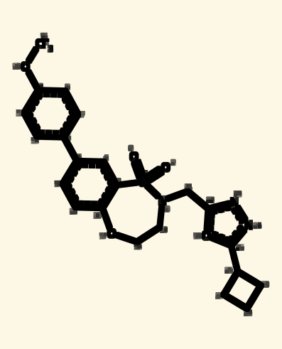 O=S1(=O)c2cc(-c3ccc(OC(F)(F)F)cc3)ccc2OCCN1Cc1nnc(C2CCC2)o1